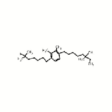 CCC(C)(C)CCCCCc1ccc(CCCCCC(C)(C)I)c(C)c1C